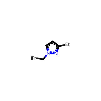 CCc1ccn(CC(C)C)n1